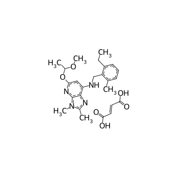 CCc1cccc(C)c1CNc1cc(OC(C)OC)nc2c1nc(C)n2C.O=C(O)C=CC(=O)O